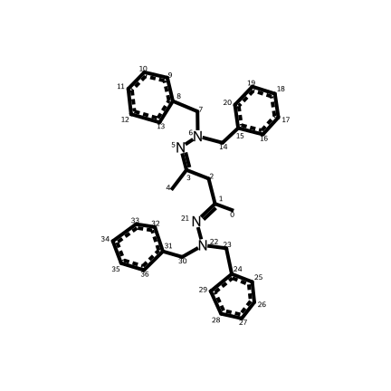 CC(CC(C)=NN(Cc1ccccc1)Cc1ccccc1)=NN(Cc1ccccc1)Cc1ccccc1